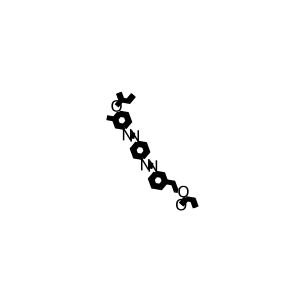 C=CC(=C)Oc1ccc(/N=N/c2ccc(/N=N/c3cccc(CCOC(=O)C=C)c3)cc2)cc1C